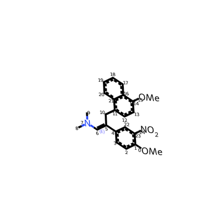 COc1ccc(/C(=C/N(C)C)Cc2ccc(OC)c3ccccc23)cc1[N+](=O)[O-]